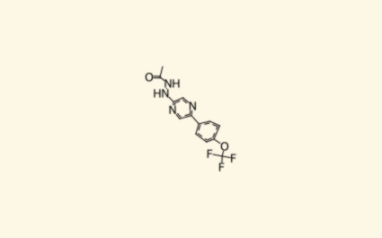 CC(=O)NNc1cnc(-c2ccc(OC(F)(F)F)cc2)cn1